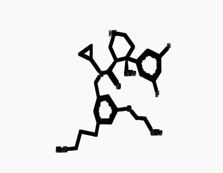 COCCCc1cc(CN(C(=O)[C@H]2CNCC[C@]2(OC)c2cc(F)cc(F)c2)C2CC2)cc(OCCOC)c1